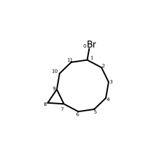 BrC1CCCCCC2CC2CC1